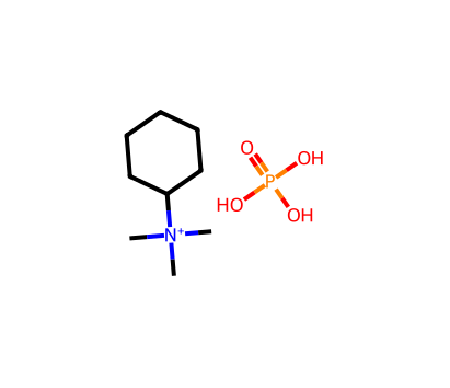 C[N+](C)(C)C1CCCCC1.O=P(O)(O)O